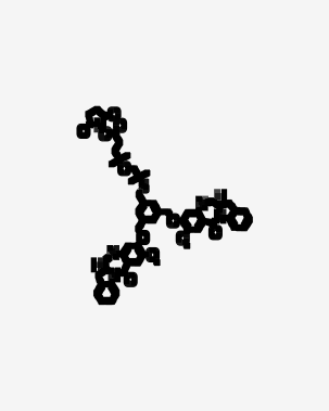 COc1cc2c(cc1OCc1cc(COc3cc4c(cc3OC)C(=O)N3c5ccccc5C[C@H]3C=N4)cc(CSC(C)(C)COC(C)(C)CCC(=O)ON3C(=O)CCC3=O)c1)N=C[C@@H]1Cc3ccccc3N1C2=O